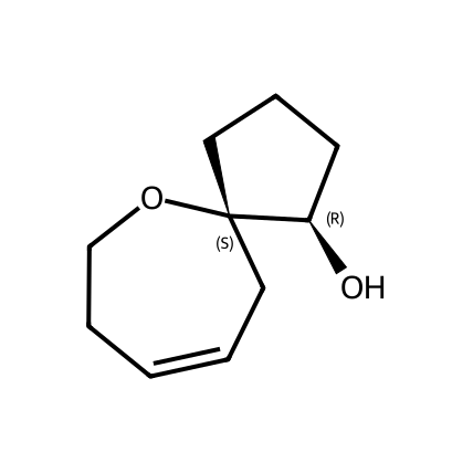 O[C@@H]1CCC[C@]12CC=CCCO2